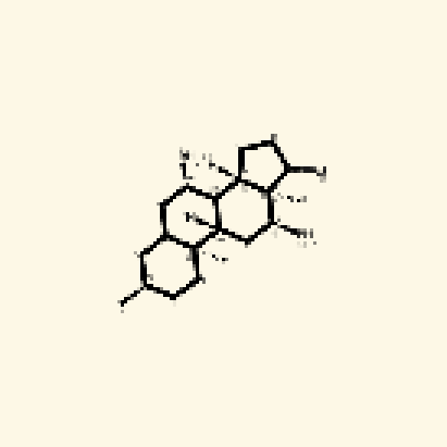 B[C@@H]1CC2C[C@H](C)CC[C@]2(C)[C@H]2C[C@H](B)[C@]3(C)C(CC)CC[C@H]3C12